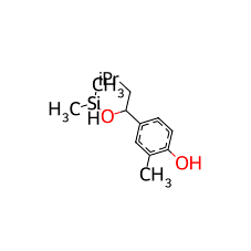 Cc1cc(C(CC(C)C)O[SiH](C)C)ccc1O